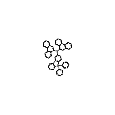 c1ccc([Si]2(c3ccccc3)c3ccccc3-c3cc(N(c4cc5ccccc5c5ccccc45)c4cc5ccccc5c5ccccc45)ccc32)cc1